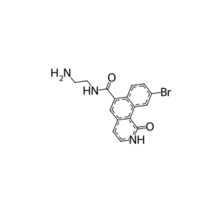 NCCNC(=O)c1cc2cc[nH]c(=O)c2c2cc(Br)ccc12